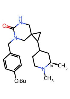 CC(C)COc1ccc(CN2CC3(CNC2=O)CC3C2CCN(C)[C@H](C)C2)cc1